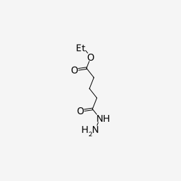 CCOC(=O)CCCC(=O)NN